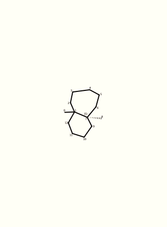 CC12CCCCC[C@@]1(C)CCCC2